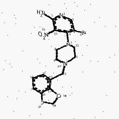 Nc1ncc(Br)c(N2CCN(Cc3cccc4c3OCO4)CC2)c1[N+](=O)[O-]